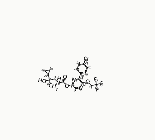 C[C@](O)(CNC(=O)Oc1cnc(OCC(F)(F)F)c(-c2ccc(Cl)cc2)n1)C1CC1